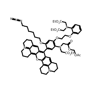 CCOC(=O)CN(CC(=O)OCC)c1ccccc1OCCOc1cc(OCCCCCCN=[N+]=[N-])c(C2=c3cc4c5c(c3Oc3c2cc2c6c3CCCN6CCC2)CCC[N+]=5CCC4)cc1N(CC(=O)OCC)CC(=O)OCOC(C)=O